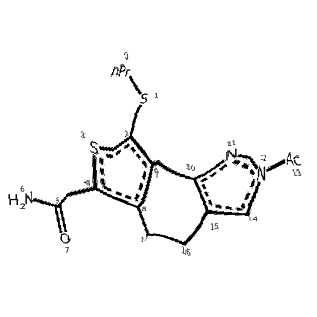 CCCSc1sc(C(N)=O)c2c1-c1nn(C(C)=O)cc1CC2